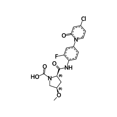 CO[C@@H]1C[C@H](C(=O)Nc2ccc(-n3ccc(Cl)cc3=O)cc2F)N(C(=O)O)C1